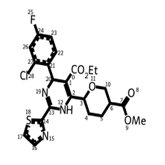 CCOC(=O)C1=C(C2CCC(C(=O)OC)CO2)NC(c2nccs2)=NC1c1ccc(F)cc1Cl